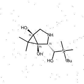 CC1(C)[C@]2(O)CN[C@H](C(O)[Si](C)(C)C(C)(C)C)[C@]12O